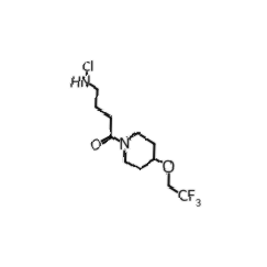 O=C(CCCNCl)N1CCC(OCC(F)(F)F)CC1